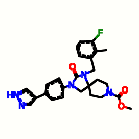 COC(=O)N1CCC2(CC1)CN(c1ccc(-c3cn[nH]c3)cc1)C(=O)N2Cc1cccc(F)c1C